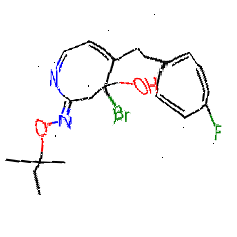 CC(C)(C)ON=C1N=CC=C(Cc2ccc(F)cc2)C1(O)Br